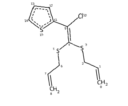 C=CCSC(SCC=C)=C(Cl)c1cccs1